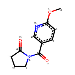 COc1ccc(C(=O)N2CCCC2=O)cn1